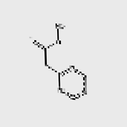 O=NOC(=O)Cc1ncccn1